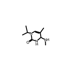 CNC1NC(=O)N(C(C)C)C=C1C